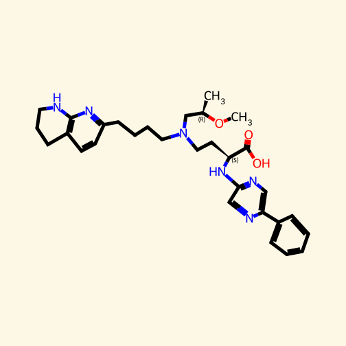 CO[C@H](C)CN(CCCCc1ccc2c(n1)NCCC2)CC[C@H](Nc1cnc(-c2ccccc2)cn1)C(=O)O